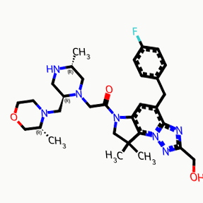 C[C@@H]1CN(CC(=O)N2CC(C)(C)c3c2cc(Cc2ccc(F)cc2)c2nc(CO)nn32)[C@@H](CN2CCOC[C@H]2C)CN1